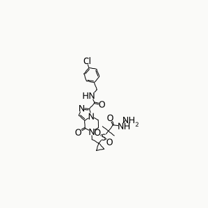 CC(C)(C(=O)NN)S(=O)(=O)C1(CN2CCn3c(cnc3C(=O)NCc3ccc(Cl)cc3)C2=O)CC1